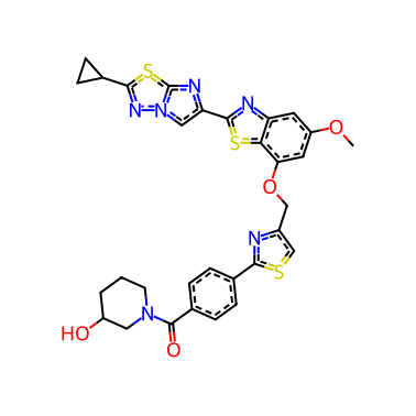 COc1cc(OCc2csc(-c3ccc(C(=O)N4CCCC(O)C4)cc3)n2)c2sc(-c3cn4nc(C5CC5)sc4n3)nc2c1